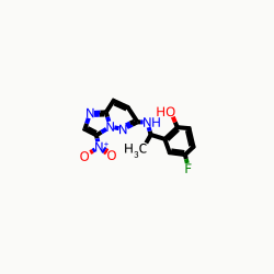 CC(Nc1ccc2ncc([N+](=O)[O-])n2n1)c1cc(F)ccc1O